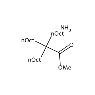 CCCCCCCCC(CCCCCCCC)(CCCCCCCC)C(=O)OC.N